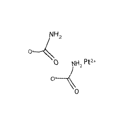 NC(=O)[O-].NC(=O)[O-].[Pt+2]